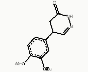 COc1ccc(C2C=NNC(=O)C2)cc1OCC(C)C